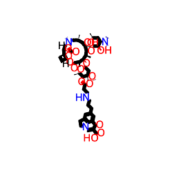 CO[C@]1(C)C[C@H](O[C@H]2[C@H](C)[C@@H](O[C@@H]3O[C@H](C)C[C@H](N(C)C)[C@H]3O)[C@](C)(O)C[C@@H](C)CN(C)C[C@@H]3OC(=O)O[C@@]34CC[C@H]4OC(=O)[C@@H]2C)O[C@@H](C)[C@@H]1OC(=O)CCNCCCc1cc2c3c(c1)c(=O)c(C(=O)O)cn3CC2